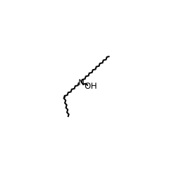 CCCCCCCC/C=C\CCCCCCCCN(CCO)CCCCCCCCCCCCCCCC